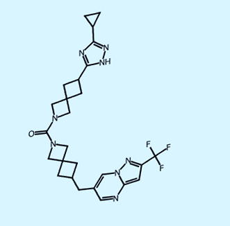 O=C(N1CC2(CC(Cc3cnc4cc(C(F)(F)F)nn4c3)C2)C1)N1CC2(CC(c3nc(C4CC4)n[nH]3)C2)C1